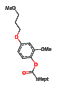 CCCCCCCC(=O)Oc1ccc(OCCCOC)cc1OC